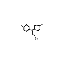 Cc1ccc(C(=CCC(C)C)c2ccc(C)cc2)cc1